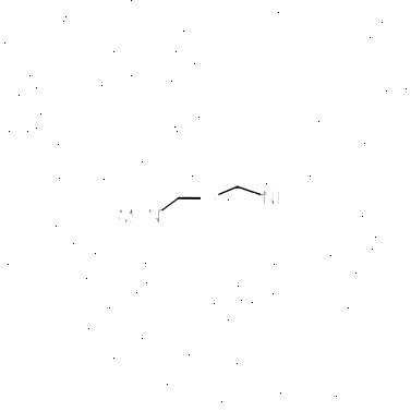 CNCOC[NH]